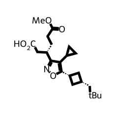 COC(=O)CC[C@@H](CC(=O)O)c1noc([C@H]2C[C@@H](CC(C)(C)C)C2)c1C1CC1